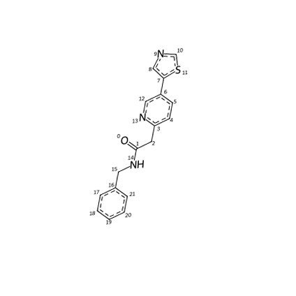 O=C(Cc1ccc(-c2cncs2)cn1)NCc1ccccc1